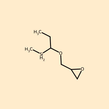 CCC(OCC1CO1)[SiH2]C